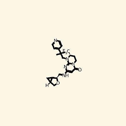 CC(C)(CN1c2nc(NC[C@H]3OC[C@@H]4CC43)cc(=O)n2CC[C@H]1C(F)(F)F)c1ccncc1